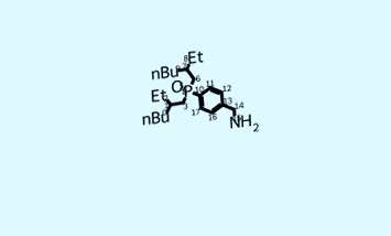 CCCCC(CC)CP(=O)(CC(CC)CCCC)c1ccc(CN)cc1